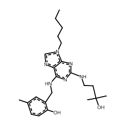 CCCCCn1cnc2c(NCc3cc(C)ccc3O)nc(NCCC(C)(C)O)nc21